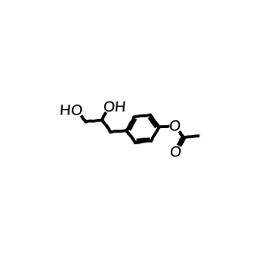 CC(=O)Oc1ccc(CC(O)CO)cc1